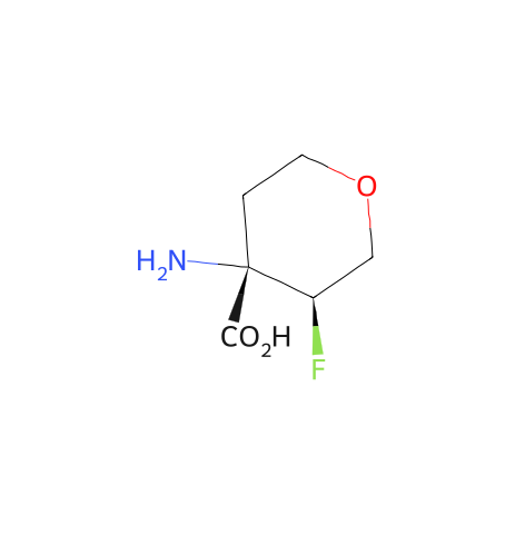 N[C@]1(C(=O)O)CCOC[C@H]1F